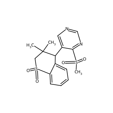 CC1(C)CS(=O)(=O)c2ccccc2C1c1cncnc1S(C)(=O)=O